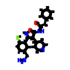 NCc1ccc(F)c(-c2noc(NC(=O)Cc3ccccc3)c2-c2ccncc2)c1